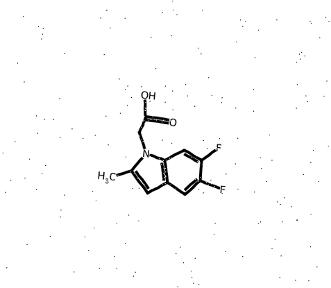 Cc1cc2cc(F)c(F)cc2n1CC(=O)O